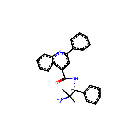 CC(C)(N)[C@H](NC(=O)c1cc(-c2ccccc2)nc2ccccc12)c1ccccc1